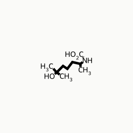 CC(CCCC(C)(C)O)NC(=O)O